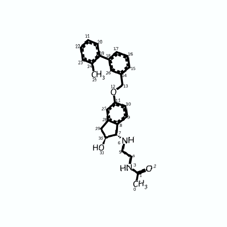 CC(=O)NCCN[C@H]1c2ccc(OCc3cccc(-c4ccccc4C)c3)cc2C[C@@H]1O